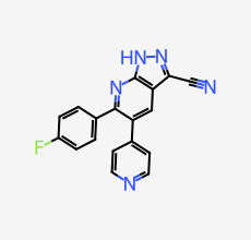 N#Cc1n[nH]c2nc(-c3ccc(F)cc3)c(-c3ccncc3)cc12